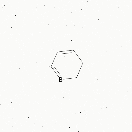 B1=[C]C=CCC1